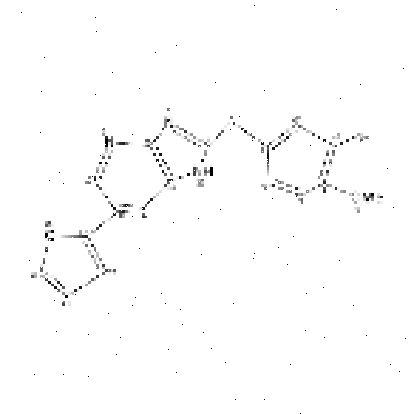 COc1ccc(Cc2nc3ncc(-c4ccco4)cc3[nH]2)cc1C